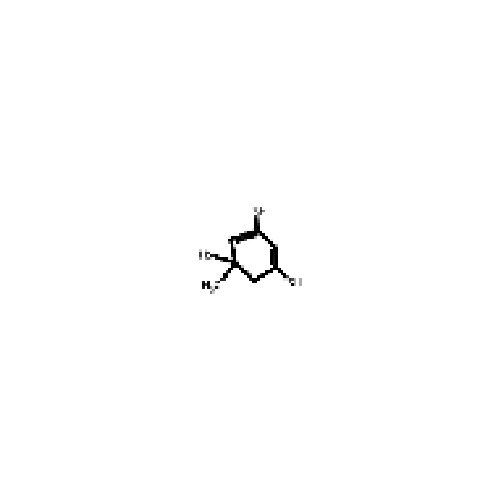 CC1(S)C=C(S)C=C(S)C1